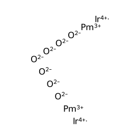 [Ir+4].[Ir+4].[O-2].[O-2].[O-2].[O-2].[O-2].[O-2].[O-2].[Pm+3].[Pm+3]